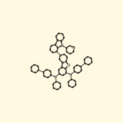 c1ccc(-c2ccc(N(c3ccccc3)c3cc(N(c4ccccc4)c4ccc(-c5ccccc5)cc4)c4oc5ccc(-c6cccc7c8ccccc8n(-c8cccnc8)c67)cc5c4c3)cc2)cc1